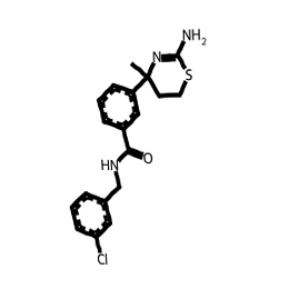 CC1(c2cccc(C(=O)NCc3cccc(Cl)c3)c2)CCSC(N)=N1